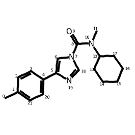 Cc1ccc(-c2cn(C(=O)N(C)C3CCCCC3)cn2)cc1